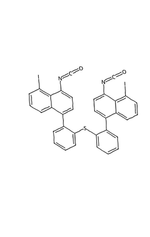 O=C=Nc1ccc(-c2ccccc2Sc2ccccc2-c2ccc(N=C=O)c3c(I)cccc23)c2cccc(I)c12